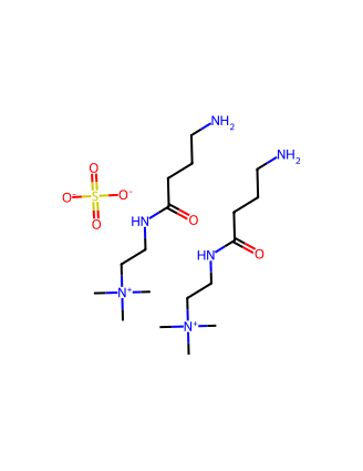 C[N+](C)(C)CCNC(=O)CCCN.C[N+](C)(C)CCNC(=O)CCCN.O=S(=O)([O-])[O-]